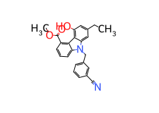 CCc1cc(O)c2c3c(C(=O)OC)cccc3n(Cc3cccc(C#N)c3)c2c1